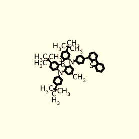 Cc1cc2c3c(c1)N(c1ccc(-c4cccc5c4sc4ccccc45)cc1)c1cc(C(C)(C)C)ccc1B3c1cc(C(C)(C)C)ccc1N2c1ccc(C(C)(C)C)cc1